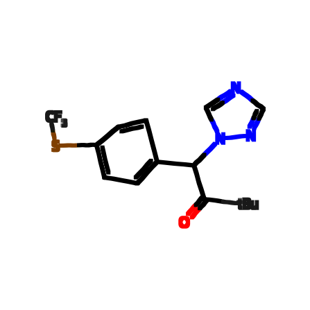 CC(C)(C)C(=O)C(c1ccc(SC(F)(F)F)cc1)n1cncn1